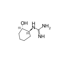 N=C(N)N[C@H]1CCCC[C@@H]1O